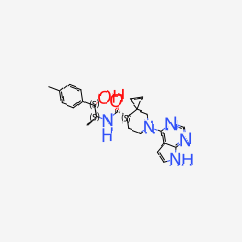 Cc1ccc([C@H](O)[C@H](C)NC(=O)[C@H]2CCN(c3ncnc4[nH]ccc34)CC23CC3)cc1